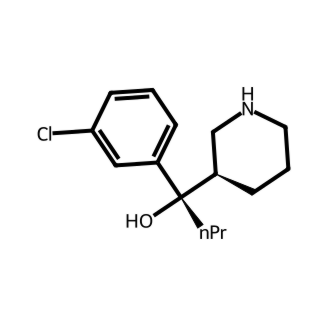 CCC[C@@](O)(c1cccc(Cl)c1)[C@@H]1CCCNC1